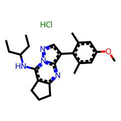 CCC(CC)Nc1c2c(nc3c(-c4c(C)cc(OC)cc4C)cnn13)CCC2.Cl